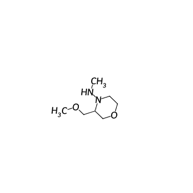 CNN1CCOCC1COC